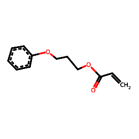 C=CC(=O)OCCCOc1ccccc1